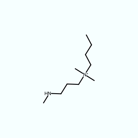 CCCC[N+](C)(C)CCCNC